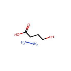 NN.O=C(O)CCCO